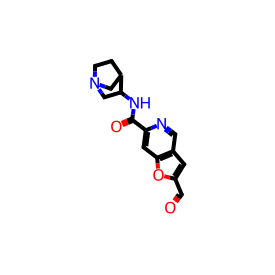 O=Cc1cc2cnc(C(=O)NC3CN4CCC3C4)cc2o1